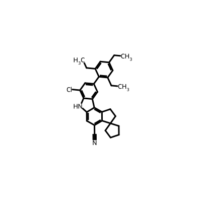 CCc1cc(CC)c(-c2cc(Cl)c3[nH]c4cc(C#N)c5c(c4c3c2)CCC52CCCC2)c(CC)c1